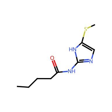 CCCCC(=O)Nc1ncc(SC)[nH]1